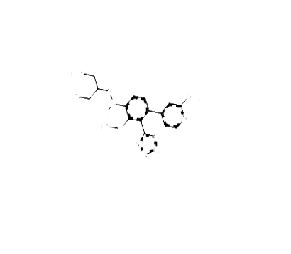 NCC(CN)N[S+]([O-])c1ccc(-c2ccnc(N)c2)c(-c2nn[nH]n2)c1SN